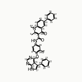 Cc1c(C(=O)Nc2ccc(Oc3ncnc4[nH]cc(-c5ccccc5)c34)c(F)c2)c(=O)c2cc(-c3ccccc3)ccc2n1C